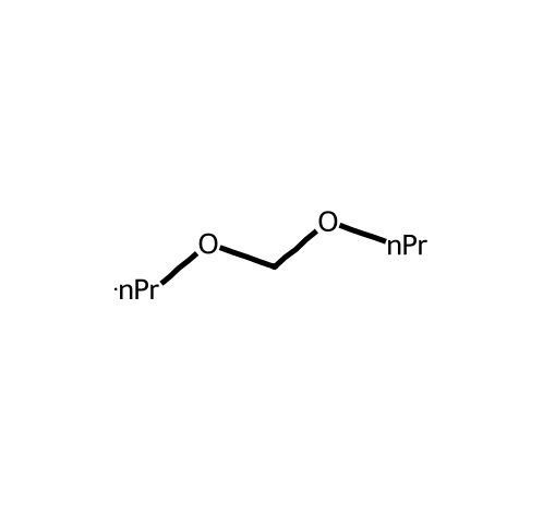 CC[CH]OCOCCC